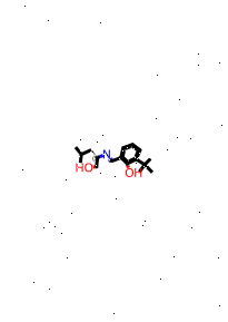 CC(C)C[C@@H](CO)N=Cc1cccc(C(C)(C)C)c1O